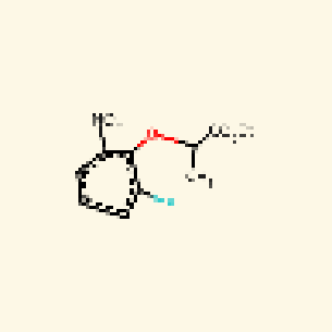 CCOC(=O)C(C)Oc1c(F)cccc1[N+](=O)[O-]